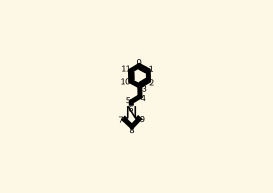 c1ccc(CCN2CCC2)cc1